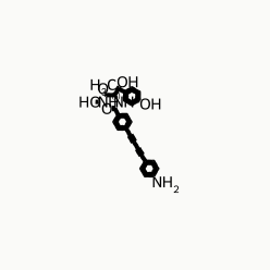 CC(O)(c1ccc(O)cc1)[C@H](NC(=O)c1ccc(C#CC#Cc2ccc(N)cc2)cc1)C(=O)NO